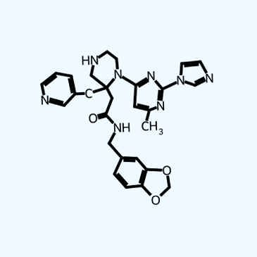 Cc1cc(N2CCNCC2(CC(=O)NCc2ccc3c(c2)OCO3)Cc2cccnc2)nc(-n2ccnc2)n1